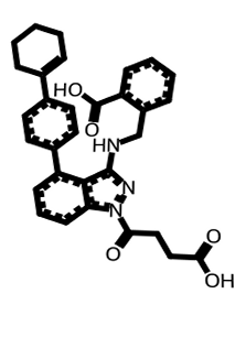 O=C(O)CCC(=O)n1nc(NCc2ccccc2C(=O)O)c2c(-c3ccc(C4=CCCCC4)cc3)cccc21